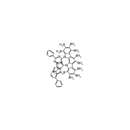 Bc1c(B)c(B)c2c(c1B)c1c(B)c(B)c3c4c(B)c(B)c(B)c(B)c4n(-c4nc(-c5ccccc5)nc(-c5ccccc5)n4)c3c1n2-c1cccc(-c2cccc(-c3ccccc3)c2)c1